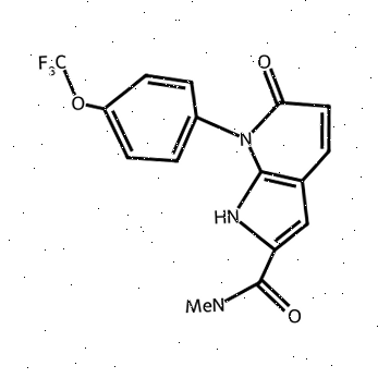 CNC(=O)c1cc2ccc(=O)n(-c3ccc(OC(F)(F)F)cc3)c2[nH]1